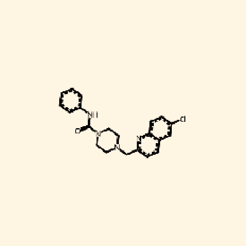 O=C(Nc1ccccc1)N1CCN(Cc2ccc3cc(Cl)ccc3n2)CC1